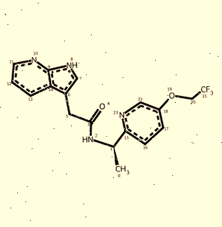 C[C@@H](NC(=O)Cc1c[nH]c2ncccc12)c1ccc(OCC(F)(F)F)cn1